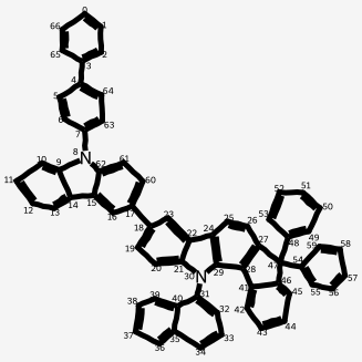 c1ccc(-c2ccc(-n3c4ccccc4c4cc(-c5ccc6c(c5)c5ccc7c(c5n6-c5cccc6ccccc56)-c5ccccc5C7(c5ccccc5)c5ccccc5)ccc43)cc2)cc1